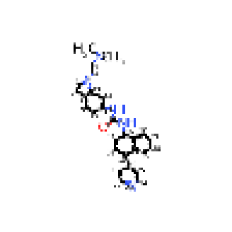 CN(C)CCn1ccc2ccc(NC(=O)Nc3ccc(-c4ccncc4)c4ccccc34)cc21